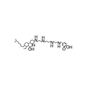 COc1cc(CNCCCNCCCCNCCCN[C@H]2CC[C@]3(C)C4CC[C@@]5(C)C(CC[C@@H]5[C@H](C)CCCC(C)C)C4[C@@H](O)C[C@@H]3C2)ccc1O